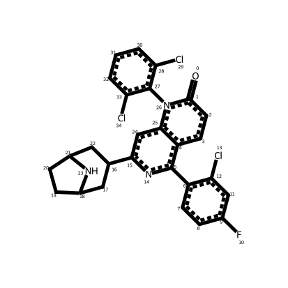 O=c1ccc2c(-c3ccc(F)cc3Cl)nc(C3CC4CCC(C3)N4)cc2n1-c1c(Cl)cccc1Cl